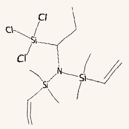 C=C[Si](C)(C)N(C(CC)[Si](Cl)(Cl)Cl)[Si](C)(C)C=C